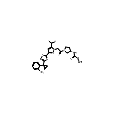 Cc1ccccc1C1(c2noc(-c3cc(C(F)F)n(CC(=O)N4CC[C@H](NC(=O)OC(C)(C)C)C4)n3)n2)CC1